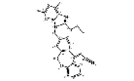 CCOc1nc2c(C)cc(C)nc2n1Cc1ccc2c(c1)COc1ccccc1C2=CC#N